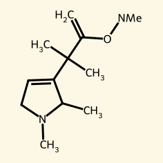 C=C(ONC)C(C)(C)C1=CCN(C)C1C